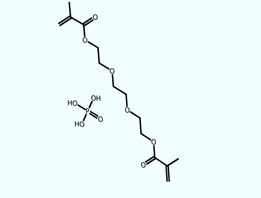 C=C(C)C(=O)OCCOCCOCCOC(=O)C(=C)C.O=P(O)(O)O